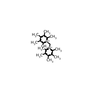 Cc1c(C)c(C)[n+](C[n+]2c(C)c(C)c(C)c(C)c2C)c(C)c1C